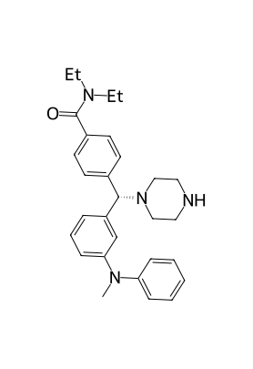 CCN(CC)C(=O)c1ccc([C@@H](c2cccc(N(C)c3ccccc3)c2)N2CCNCC2)cc1